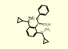 C[C@H](c1ccccc1)N(C(=O)O)c1c([C@H](C)C2CC2)cccc1[C@H](C)C1CC1